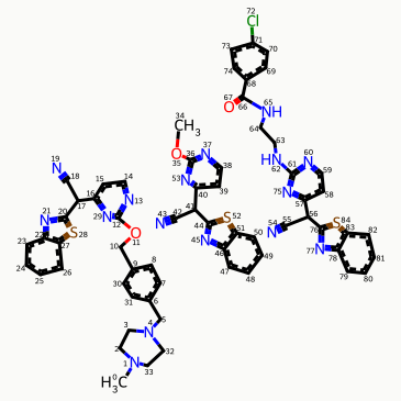 CN1CCN(Cc2ccc(COc3nccc(C(C#N)c4nc5ccccc5s4)n3)cc2)CC1.COc1nccc(C(C#N)c2nc3ccccc3s2)n1.N#CC(c1ccnc(NCCNC(=O)c2ccc(Cl)cc2)n1)c1nc2ccccc2s1